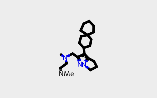 CNCCN(C)Cc1nn2c(c1C1CCC3(CCCCC3)CC1)CCC2